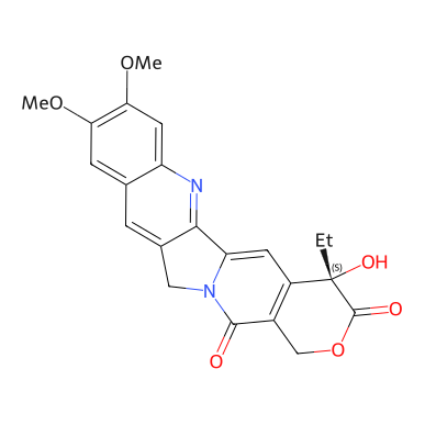 CC[C@@]1(O)C(=O)OCc2c1cc1n(c2=O)Cc2cc3cc(OC)c(OC)cc3nc2-1